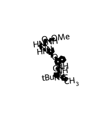 COCCNC(=O)C1=CN(Nc2cc(COc3ccc(NC(=O)Nc4cc(C(C)(C)C)nn4-c4csc(C)c4)c4ccccc34)ccn2)C=CN1